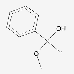 [CH2]C(O)(OC)c1ccccc1